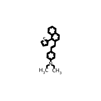 CCN(CC)c1ccc(C=Cc2ccc3ccccc3c2-c2cccs2)cc1